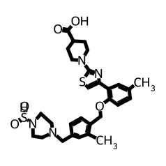 Cc1ccc(OCc2ccc(CN3CCN([SH](=O)=O)CC3)cc2C)c(-c2csc(N3CCC(C(=O)O)CC3)n2)c1